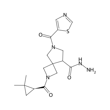 CC1(C)C[C@@H]1C(=O)N1CC2(CN(C(=O)c3cncs3)CC2C(=O)NN)C1